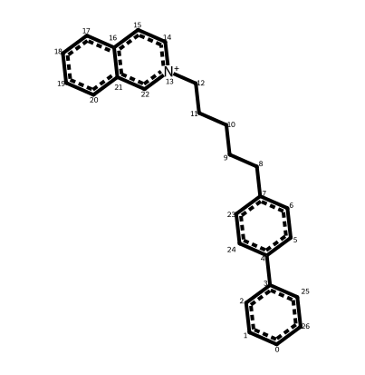 c1ccc(-c2ccc(CCCCC[n+]3ccc4ccccc4c3)cc2)cc1